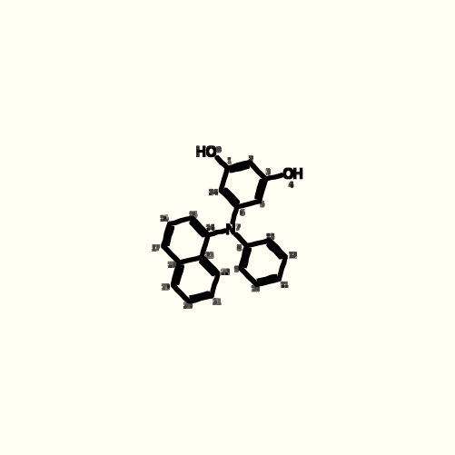 Oc1[c]c(O)cc(N(c2ccccc2)c2cccc3ccccc23)c1